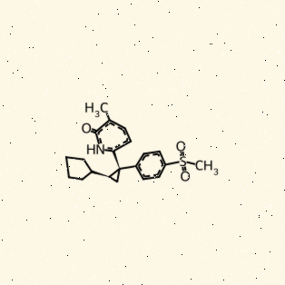 Cc1ccc([C@@]2(c3ccc(S(C)(=O)=O)cc3)C[C@H]2C2CCCC2)[nH]c1=O